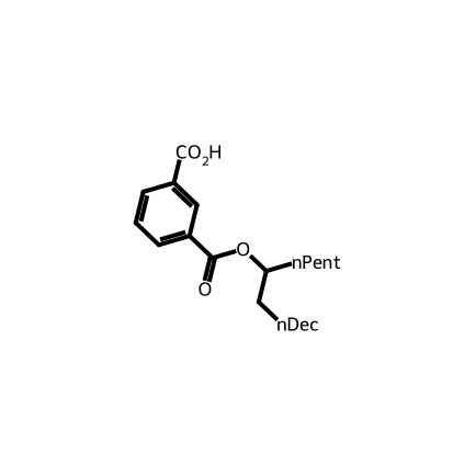 CCCCCCCCCCCC(CCCCC)OC(=O)c1cccc(C(=O)O)c1